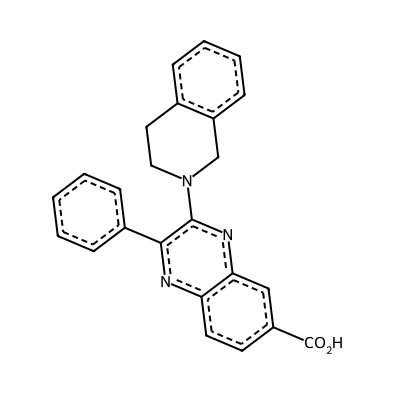 O=C(O)c1ccc2nc(-c3ccccc3)c(N3CCc4ccccc4C3)nc2c1